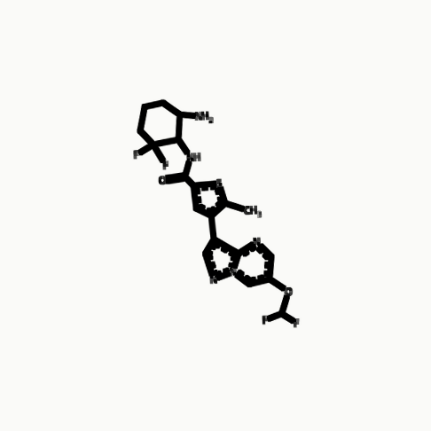 Cc1sc(C(=O)NC2C(N)CCCC2(F)F)cc1-c1cnn2cc(OC(F)F)cnc12